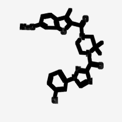 COc1ccc2c(C)c(C(=O)N3CCN(C(=O)c4ncn(-c5cccc(Cl)c5)n4)C(C)(C)C3)oc2c1